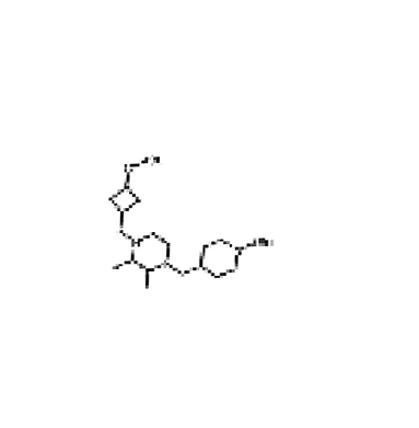 CC1C(C)N(CC2CC(OC(C)(C)C)C2)CCN1CC1CCN(C(C)(C)C)CC1